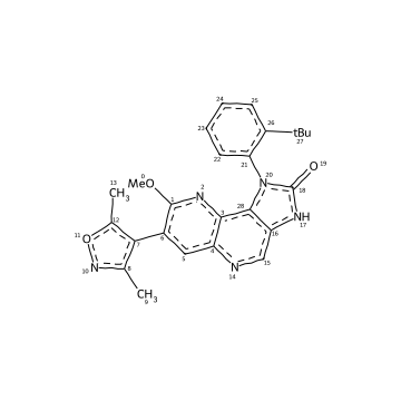 COc1nc2c(cc1-c1c(C)noc1C)ncc1[nH]c(=O)n(-c3ccccc3C(C)(C)C)c12